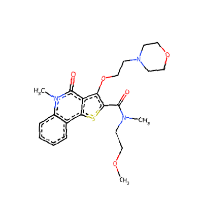 COCCN(C)C(=O)c1sc2c(c1OCCN1CCOCC1)c(=O)n(C)c1ccccc21